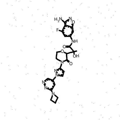 CC(O)(C(=O)Nc1cc(F)c2c(N)noc2c1)C1OCCN(c2ccn(-c3cnnc(N4CCC4)c3)n2)C1=O